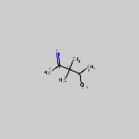 CC(=N)C(C)(C)C(C)C